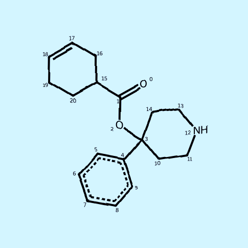 O=C(OC1(c2ccccc2)CCNCC1)C1CC=CCC1